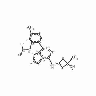 Cc1ccc(-c2nnc(N[C@H]3C[C@@](C)(O)C3)n3cncc23)c(OC(F)F)c1